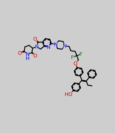 CCC(=C(c1ccc(O)cc1)c1ccc(OCC(F)(F)CCCN2CCN(c3ccc4c(n3)CN(C3CCC(=O)NC3=O)C4=O)CC2)cc1)c1ccccc1